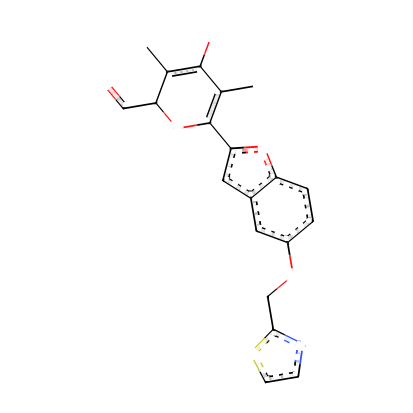 CC1=C(c2cc3cc(OCc4nccs4)ccc3o2)OC(C=O)C(C)=C1O